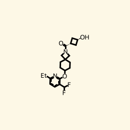 CCc1ccc(C(F)F)c(OC2CCC3(CC2)CN(C(=O)[C@H]2C[C@@H](O)C2)C3)n1